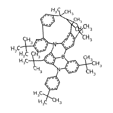 CC(C)(C)c1ccc(N2c3ccc(C(C)(C)C)cc3B3c4cc5c6cc4N(c4ccc(C(C)(C)C)cc4-c4ccc(cc4)C(C)(C)C(CC5(C)C)C6(C)C)c4cc(C(C)(C)C)cc2c43)cc1